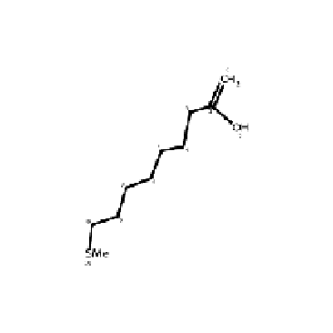 C=C(O)CCCCCCCSC